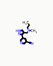 CCCN(C)Cc1c[nH]nc1-c1cncc(C#N)c1